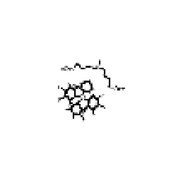 CCCCCCCCCCCCCC[NH+](C)CCCCCCCCCCCCCC.Oc1ccccc1[B-](c1c(F)c(F)c(F)c(F)c1F)(c1c(F)c(F)c(F)c(F)c1F)c1c(F)c(F)c(F)c(F)c1F